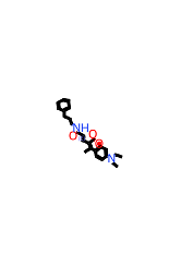 CCN(CC)c1ccc2c(C)c(/C=C/C(=O)NCCCc3ccccc3)c(=O)oc2c1